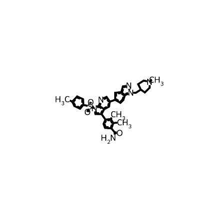 Cc1ccc(S(=O)(=O)n2cc(-c3ccc(C(N)=O)c(C)c3C)c3cc(-c4ccc5c(cnn5CC5CCN(C)CC5)c4)cnc32)cc1